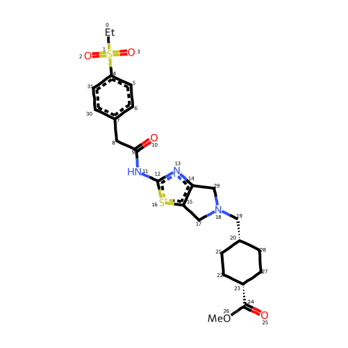 CCS(=O)(=O)c1ccc(CC(=O)Nc2nc3c(s2)CN(C[C@H]2CC[C@@H](C(=O)OC)CC2)C3)cc1